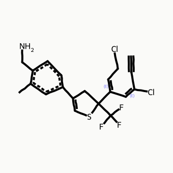 C#C/C(Cl)=C\C(=C/CCl)C1(C(F)(F)F)CC(c2ccc(CN)c(C)c2)=CS1